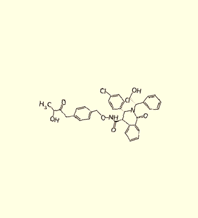 CC(O)C(=O)Cc1ccc(CONC(=O)[C@@H]2c3ccccc3C(=O)N([C@H](CO)c3ccccc3)[C@H]2c2ccc(Cl)cc2Cl)cc1